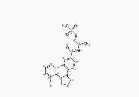 C[C@H](/C=C/S(C)(=O)=O)NC(=O)c1ccc(N2CCC[C@H]2c2ccccc2Cl)nc1